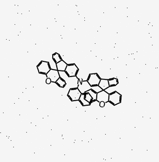 c1ccc2c(c1)Oc1ccccc1C21c2ccccc2-c2ccc(N(c3ccc4c(c3)C3(c5ccccc5Oc5ccccc53)c3ccccc3-4)c3cccc4ccccc34)cc21